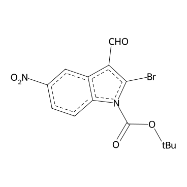 CC(C)(C)OC(=O)n1c(Br)c(C=O)c2cc([N+](=O)[O-])ccc21